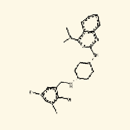 CN(C)c1nc(N[C@H]2CC[C@@H](NCc3cc(Br)cc(Br)c3O)CC2)nc2ccccc12